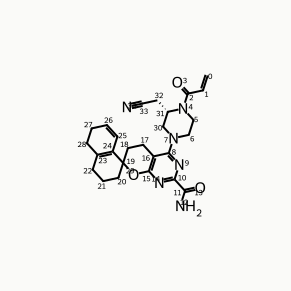 C=CC(=O)N1CCN(c2nc(C(N)=O)nc3c2CCC2(CCCC4=C2C=CCC4)O3)C[C@@H]1CC#N